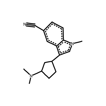 CN(C)C1CCC(c2cn(C)c3ccc(C#N)cc23)C1